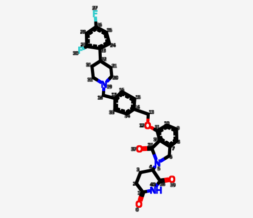 O=C1CCC(N2Cc3cccc(OCc4ccc(CN5CCC(c6ccc(F)cc6F)CC5)cc4)c3C2=O)C(=O)N1